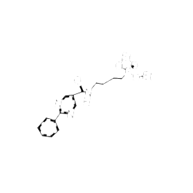 CCOP(=O)(CCCCNC(=O)c1cnc(-c2ccccc2)nc1)OCC